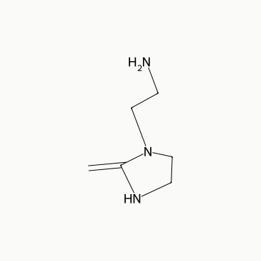 C=C1NCCN1CCN